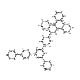 c1ccc(-c2ccc(-c3nc(-c4ccccc4)nc(-c4ccc(-c5cc6c7ccccc7c7ccccc7c6c6ccccc56)cc4)n3)cc2)cc1